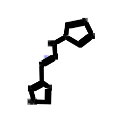 c1nc(/N=N/Nn2cnnc2)n[nH]1